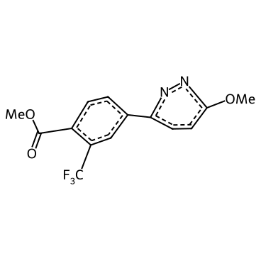 COC(=O)c1ccc(-c2ccc(OC)nn2)cc1C(F)(F)F